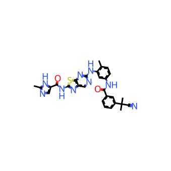 Cc1ncc(C(=O)Nc2nc3cnc(Nc4cc(NC(=O)c5cccc(C(C)(C)C#N)c5)ccc4C)nc3s2)[nH]1